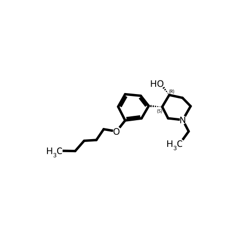 CCCCCOc1cccc([C@H]2CN(CC)CC[C@H]2O)c1